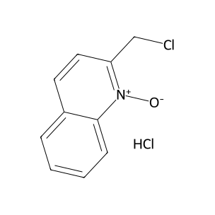 Cl.[O-][n+]1c(CCl)ccc2ccccc21